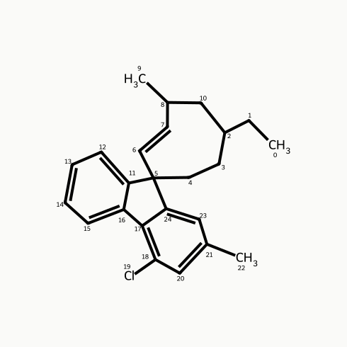 CCC1CCC2(/C=C/C(C)C1)c1ccccc1-c1c(Cl)cc(C)cc12